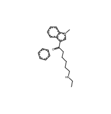 CCNCCCCCC(=O)c1cn(C)c2ccccc12.c1ccccc1